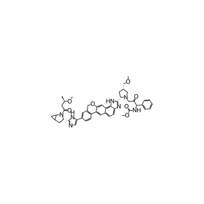 COC[C@H]1C[C@@H](c2nc3ccc4cc5c(cc4c3[nH]2)OCc2cc(-c3cnc([C@@H]4CC6CC6N4C(=O)C[C@@H](C)OC)[nH]3)ccc2-5)N(CC(=O)[C@H](NC(=O)OC)c2ccccc2)C1